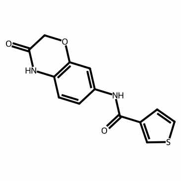 O=C1COc2cc(NC(=O)c3ccsc3)ccc2N1